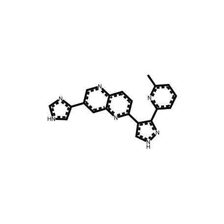 Cc1cccc(-c2n[nH]cc2-c2ccc3ncc(-c4c[nH]cn4)cc3n2)n1